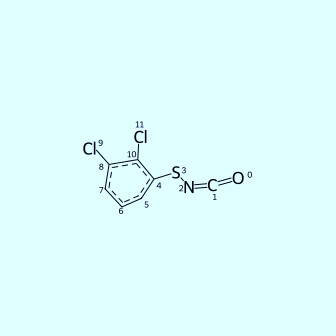 O=C=NSc1cccc(Cl)c1Cl